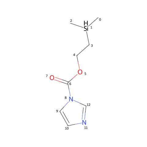 C[SiH](C)CCOC(=O)n1ccnc1